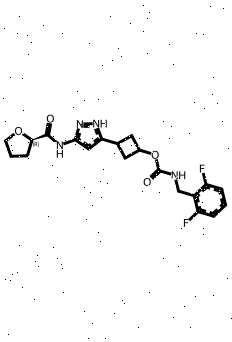 O=C(NCc1c(F)cccc1F)OC1CC(c2cc(NC(=O)[C@H]3CCCO3)n[nH]2)C1